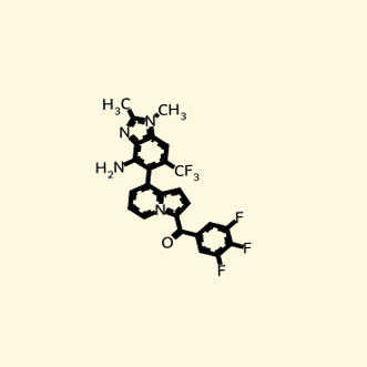 Cc1nc2c(N)c(-c3cccn4c(C(=O)c5cc(F)c(F)c(F)c5)ccc34)c(C(F)(F)F)cc2n1C